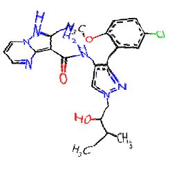 COc1ccc(Cl)cc1-c1nn(CC(O)C(C)C)cc1NC(=O)C1=C2N=CC=CN2NC1N